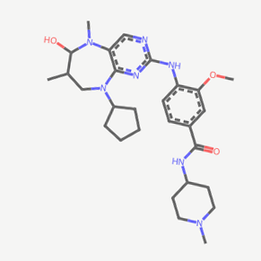 COc1cc(C(=O)NC2CCN(C)CC2)ccc1Nc1ncc2c(n1)N(C1CCCC1)CC(C)C(O)N2C